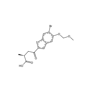 COCOc1cc2cc(C(=O)C[C@H](C)C(=O)O)sc2cc1Br